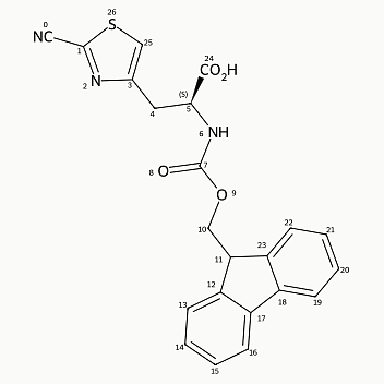 N#Cc1nc(C[C@H](NC(=O)OCC2c3ccccc3-c3ccccc32)C(=O)O)cs1